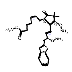 CC1(C)C(=O)[C@H](C/C=C\CCCC(=O)ON)C(/C=C/C(Cc2cc3ccccc3s2)ON)[C@@H]1ON